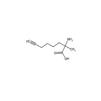 C#CCCCCC(C)(N)C(=O)O